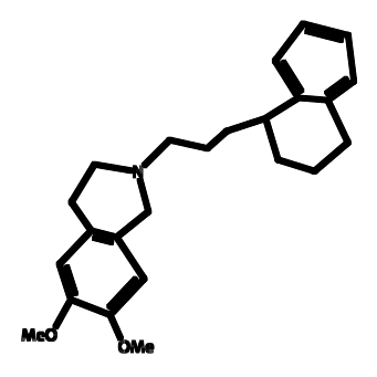 COc1cc2c(cc1OC)CN(CCCC1CCCc3ccccc31)CC2